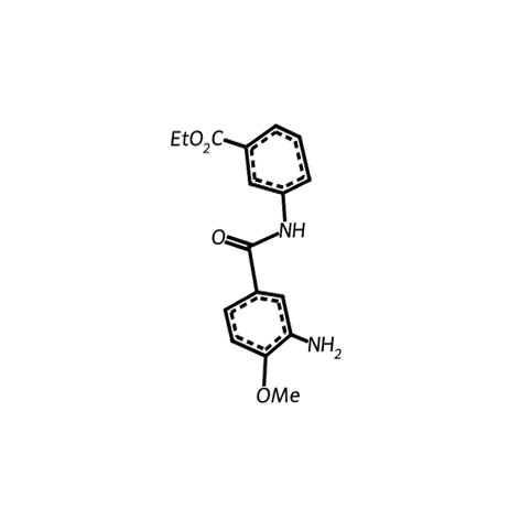 CCOC(=O)c1cccc(NC(=O)c2ccc(OC)c(N)c2)c1